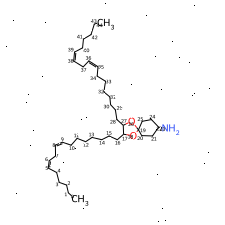 CCCCC/C=C\C/C=C\CCCCCCCC1OC2(CCC(N)CC2)OC1CCCCCCC/C=C\C/C=C\CCCCC